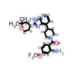 CC1(C)C[C@H](c2nc3c(C4CCN(C(=O)c5ccc(OC(F)(F)F)cc5N)CC4)ccnc3[nH]2)CCO1